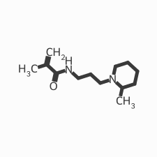 C=C(C)C(=O)NCCCN1CCCCC1C